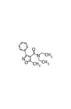 CCN(CC)C(=O)c1c(-c2ccccc2)noc1C